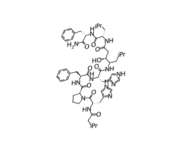 CC(C)CC(=O)N[C@@H](Cc1c[nH]cn1)C(=O)N1CCC[C@H]1C(=O)N[C@@H](Cc1ccccc1)C(=O)N[C@@H](Cc1c[nH]cn1)C(=O)NC(CC(C)C)[C@@H](O)CC(=O)N[C@@H](CC(C)C)C(=O)N[C@@H](Cc1ccccc1)C(N)=O